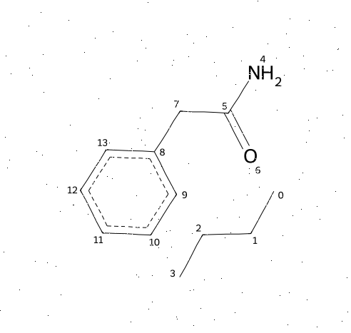 CCCC.NC(=O)Cc1ccccc1